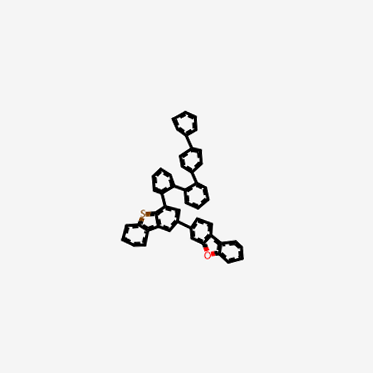 c1ccc(-c2ccc(-c3ccccc3-c3ccccc3-c3cc(-c4ccc5c(c4)oc4ccccc45)cc4c3sc3ccccc34)cc2)cc1